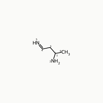 C[C](N)CC=N